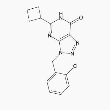 O=c1[nH]c(C2CCC2)nc2c1nnn2Cc1ccccc1Cl